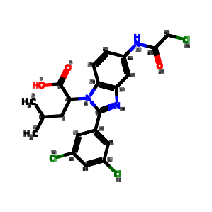 CC(C)CC(C(=O)O)n1c(-c2cc(Cl)cc(Cl)c2)nc2cc(NC(=O)CCl)ccc21